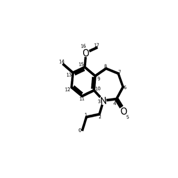 CCCN1C(=O)CCCc2c1ccc(C)c2OC